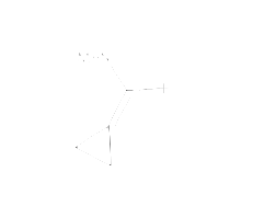 CCC(NC)=C1CC1